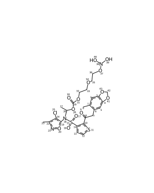 Cc1cc2c(cc1CC(=O)c1sccc1S(=O)(=O)N(c1onc(C)c1Cl)C(C)OC(=O)OCCOCCON(O)O)OCO2